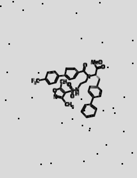 COC(=O)[C@H](Cc1ccc(-c2ccccc2)cc1)N(CCNS(=O)(=O)c1c(C)noc1C)C(=O)c1ccc(-c2ccc(C(F)(F)F)cc2)cc1